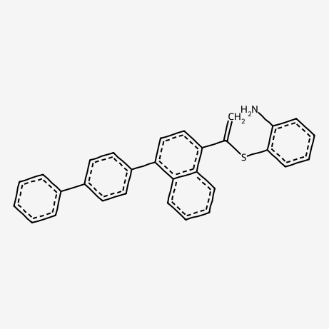 C=C(Sc1ccccc1N)c1ccc(-c2ccc(-c3ccccc3)cc2)c2ccccc12